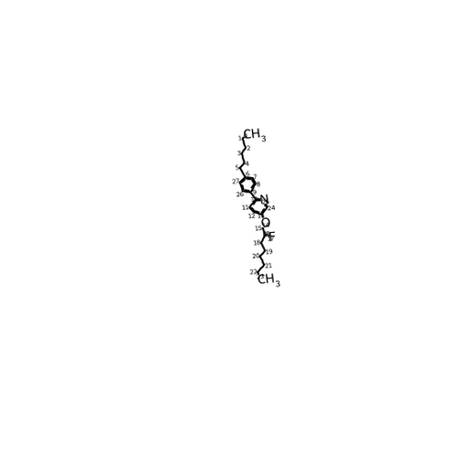 CCCCCCc1ccc(-c2ccc(OC[C@@H](F)CCCCCC)cn2)cc1